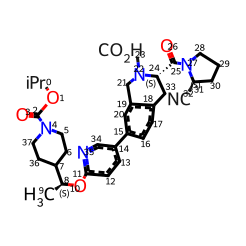 CC(C)OC(=O)N1CCC([C@H](C)Oc2ccc(-c3ccc4c(c3)CN(C(=O)O)[C@H](C(=O)N3CCC[C@H]3C#N)C4)cn2)CC1